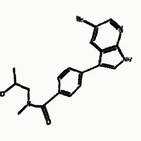 CC(O)CN(C)C(=O)c1ccc(-c2c[nH]c3ncc(Br)cc23)cc1